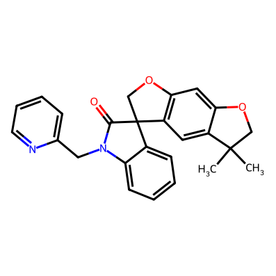 CC1(C)COc2cc3c(cc21)C1(CO3)C(=O)N(Cc2ccccn2)c2ccccc21